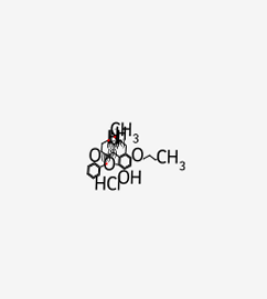 CCCCOc1cc(O)c2c3c1C[C@@H]1[C@@H]4CCC(=O)[C@](Cc5ccccc5)(O2)[C@]34CCN1C.Cl